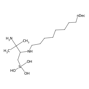 CCCCCCCCCCCCCCCCCCNC(C[Si](O)(O)O)C(C)(C)N